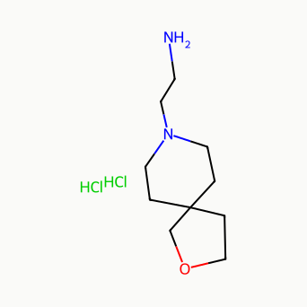 Cl.Cl.NCCN1CCC2(CCOC2)CC1